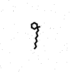 CCCCCCCCC1(C)CCCCC1